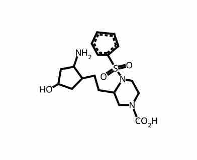 NC1CC(O)CC1CCC1CN(C(=O)O)CCN1S(=O)(=O)c1ccccc1